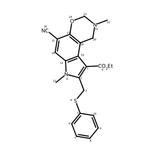 CCOC(=O)c1c(CSc2ccccc2)n(C)c2cc(C#N)c3c(c12)CN(C)CO3